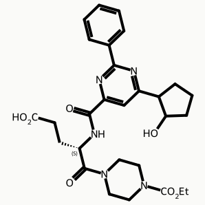 CCOC(=O)N1CCN(C(=O)[C@H](CCC(=O)O)NC(=O)c2cc(C3CCCC3O)nc(-c3ccccc3)n2)CC1